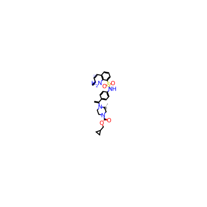 C=C/C=C\c1cccc(S(=O)(=O)Nc2ccc(C(=C)N3CCN(C(=O)OCC4CC4)C[C@H]3C)cc2)c1N